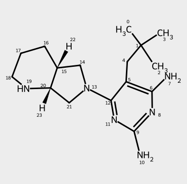 CC(C)(C)Cc1c(N)nc(N)nc1N1C[C@H]2CCCN[C@H]2C1